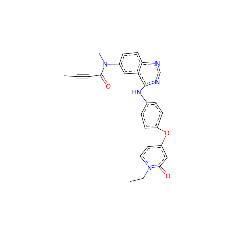 CC#CC(=O)N(C)c1ccc2ncnc(Nc3ccc(Oc4ccn(CC)c(=O)c4)cc3)c2c1